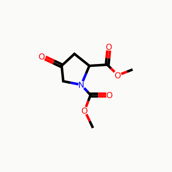 COC(=O)C1CC(=O)CN1C(=O)OC